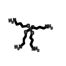 NCCCO[Si](OCCCN)(OCCCN)OCCCN